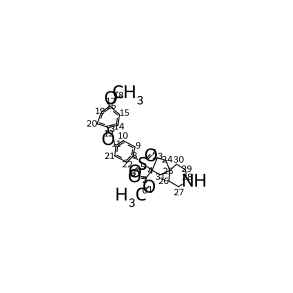 COC(=O)C1(S(=O)(=O)c2ccc(Oc3ccc(OC)cc3)cc2)CCC2(CCNCC2)C1